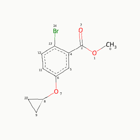 COC(=O)c1cc(OC2CC2)ccc1Br